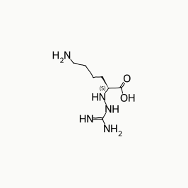 N=C(N)NN[C@@H](CCCCN)C(=O)O